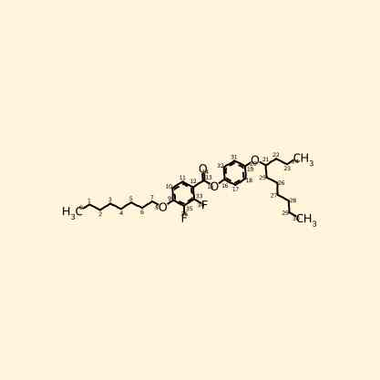 CCCCCCCCOc1ccc(C(=O)Oc2ccc(OC(CCC)CCCCCC)cc2)c(F)c1F